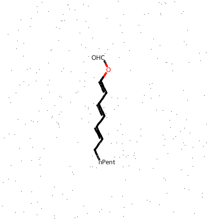 CCCCCCC=CC=CC=COC=O